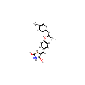 CC1=CCC(CC(C)Oc2ccc(/C=C3\SC(=O)NC3=O)cc2)CC1